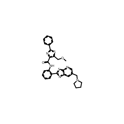 COCc1sc(-c2ccccc2)nc1C(=O)Nc1ccccc1-c1nc2cc(CN3CCCC3)cnc2s1